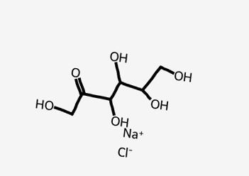 O=C(CO)C(O)C(O)C(O)CO.[Cl-].[Na+]